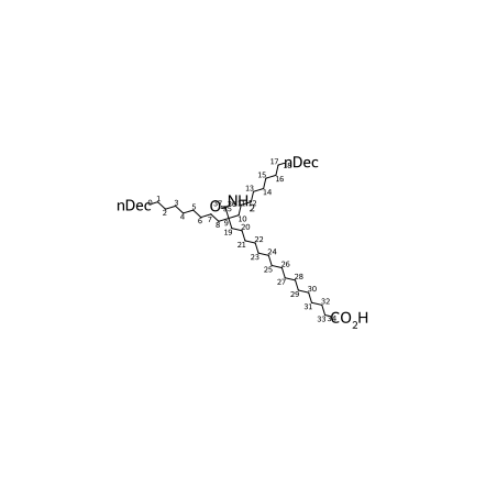 CCCCCCCCCCCCCCCCCCC(CCCCCCCCCCCCCCCCCC)(CCCCCCCCCCCCCCCC(=O)O)C(N)=O